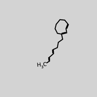 CC=CC=CCCC/C1=C/C=C/CCCCC1